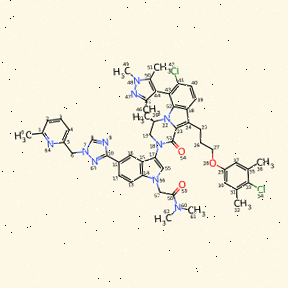 Cc1cccc(Cn2cnc(-c3ccc4c(c3)c(N3C[C@@H](C)n5c(c(CCCOc6cc(C)c(Cl)c(C)c6)c6ccc(Cl)c(-c7c(C)nn(C)c7C)c65)C3=O)cn4CC(=O)N(C)C)n2)n1